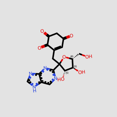 O=C1C=C(CC2(c3ncc4[nH]cnc4n3)O[C@H](CO)[C@@H](O)[C@@H]2O)C(=O)C(=O)C1